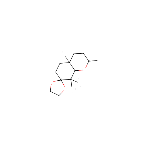 CCC1CCC2(CC)CCC3(OCCO3)C(C)(C)[C@@H]2O1